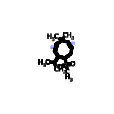 CC(C)C1/C=C\C(C)(C)/C=C\CC1S(C)(=O)=O